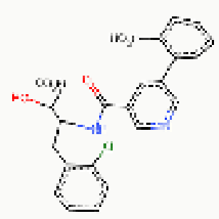 CCOC(=O)C(O)C(Cc1ccccc1Cl)NC(=O)c1cncc(-c2ccccc2C(=O)O)c1